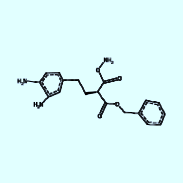 NOC(=O)[C@H](CCc1ccc(N)c(N)c1)C(=O)OCc1ccccc1